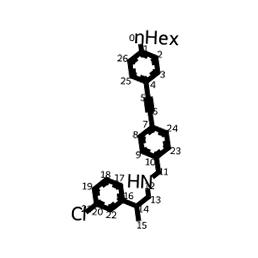 CCCCCCc1ccc(C#Cc2ccc(CNCC(C)c3cccc(Cl)c3)cc2)cc1